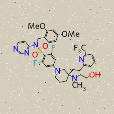 COc1ccc(CN(c2ccncn2)S(=O)(=O)c2c(F)cc(N3CCC[C@@](CCc4cccc(C(F)(F)F)n4)(N(C)CCO)C3)cc2F)c(OC)c1